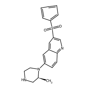 C[C@H]1CNCCN1c1ccc2ncc(S(=O)(=O)c3ccccc3)cc2c1